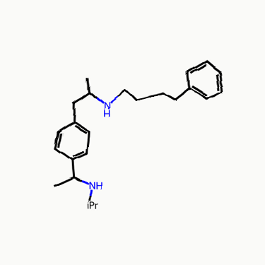 CC(C)NC(C)c1ccc(CC(C)NCCCCc2ccccc2)cc1